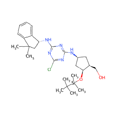 CC1(C)C[C@@H](Nc2nc(Cl)nc(N[C@H]3C[C@@H](CO)[C@@H](O[Si](C)(C)C(C)(C)C)C3)n2)c2ccccc21